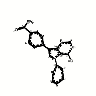 NC(=O)c1ccc(-c2cn(-c3ccccc3)c3c(Cl)ncnc23)cc1